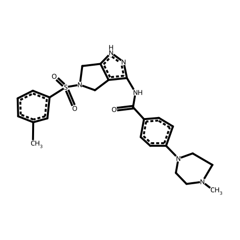 Cc1cccc(S(=O)(=O)N2Cc3[nH]nc(NC(=O)c4ccc(N5CCN(C)CC5)cc4)c3C2)c1